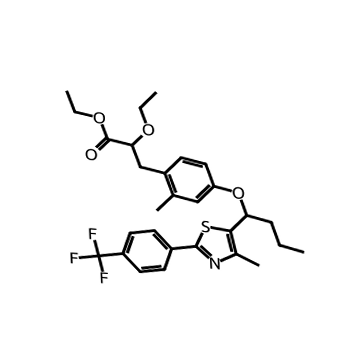 CCCC(Oc1ccc(CC(OCC)C(=O)OCC)c(C)c1)c1sc(-c2ccc(C(F)(F)F)cc2)nc1C